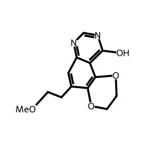 COCCc1cc2ncnc(O)c2c2c1OCCO2